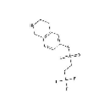 O=S(=O)(CCC(F)(F)F)Nc1ccc2c(c1)CCNC2